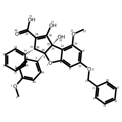 COc1ccc([C@@]23Oc4cc(OCc5ccccc5)cc(OC)c4[C@]2(O)C(O)=C(C(=O)O)[C@H]3c2ccccc2)cc1